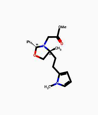 COC(=O)CN1[C@@H](C(C)C)OC[C@@]1(C)CCc1cccn1C